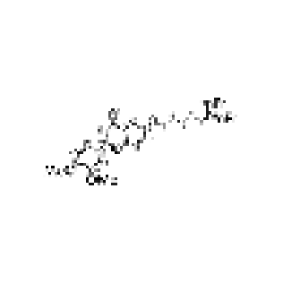 CCCN(CCC)CCCCCOc1ccc2oc(-c3ccc(OC)c(OC)c3)cc(=O)c2c1